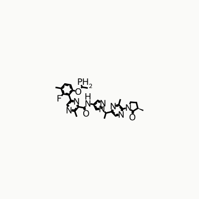 Cc1ccc(OC(C)P)c(-c2cnc(C)c(C(=O)Nc3cnn(C(C)c4cnc(N5CC[C@@H](C)C5=O)c(C)n4)c3)n2)c1F